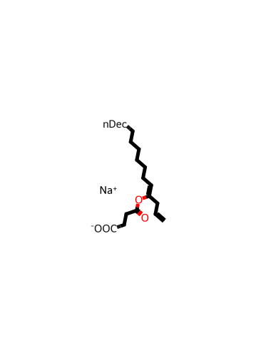 C=CCC(=CCCCCCCCCCCCCCCCC)OC(=O)CCC(=O)[O-].[Na+]